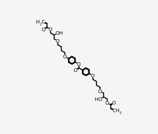 C=CC(=O)OCC(O)COCCCCOc1ccc(OC(=O)c2ccc(OCCCCOCC(O)COC(=O)C=C)cc2)cc1